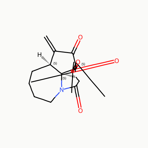 C=C1C(=O)[C@@]2(OC(=O)C(C)=C2C)[C@@]23CCC(=O)N2CCCC[C@@H]13